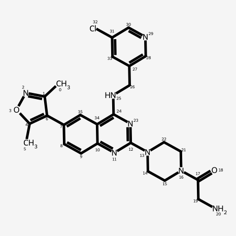 Cc1noc(C)c1-c1ccc2nc(N3CCN(C(=O)CN)CC3)nc(NCc3cncc(Cl)c3)c2c1